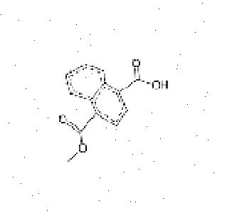 COC(=O)c1ccc(C(=O)O)c2ccccc12